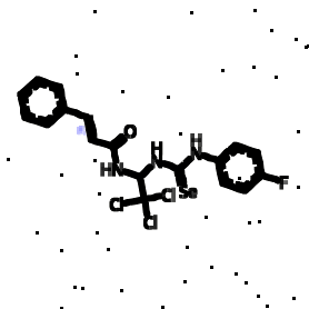 O=C(/C=C/c1ccccc1)NC(NC(=[Se])Nc1ccc(F)cc1)C(Cl)(Cl)Cl